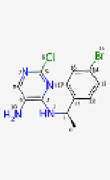 C[C@@H](Nc1nc(Cl)ncc1N)c1ccc(Br)cc1